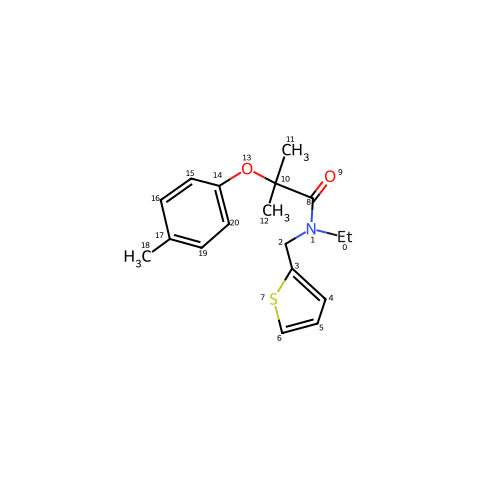 CCN(Cc1cccs1)C(=O)C(C)(C)Oc1ccc(C)cc1